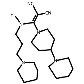 CCN(CCCN1CCCCC1)C(=C(C#N)C#N)N1CCC(N2CCCCC2)CC1